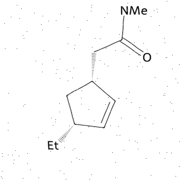 CC[C@H]1C=C[C@@H](CC(=O)NC)C1